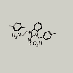 Cc1ccc(C[C@@H](CN)n2/c(=N/C(=O)O)n(Cc3ccc(C)cc3)c3ccccc32)cc1